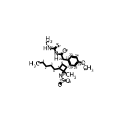 CCCCCC1CCC1(C)N=S(=O)=O.CNC(=S)NC(=O)Cc1ccc(OC)cc1